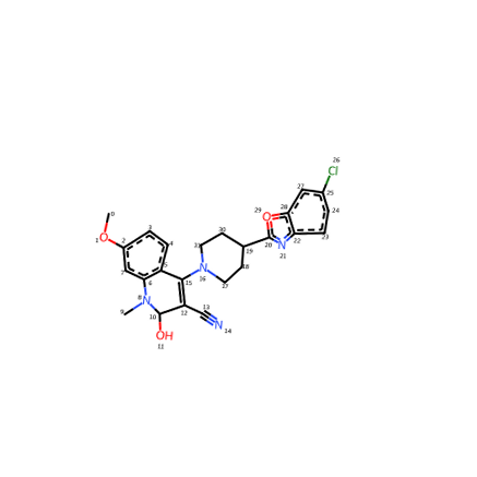 COc1ccc2c(c1)N(C)C(O)C(C#N)=C2N1CCC(c2nc3ccc(Cl)cc3o2)CC1